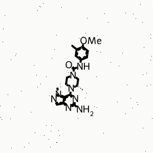 COc1ccc(NC(=O)N2CCN(c3nc(N)nc4cnn(C)c34)[C@@H](C)C2)cc1C